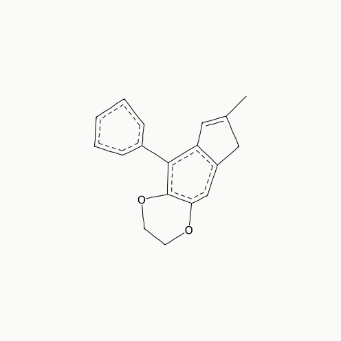 CC1=Cc2c(cc3c(c2-c2ccccc2)OCCO3)C1